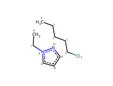 CCCCCCl.CCn1cccn1